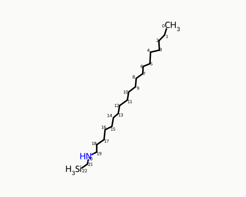 CCCCCCCCCCCCCCCCCCCCNC[SiH3]